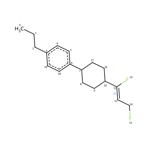 CCCc1ccc(C2CCC(/C(F)=C/CF)CC2)cc1